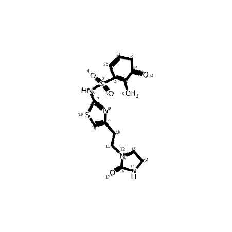 CC1=C(S(=O)(=O)Nc2nc(CCN3CCNC3=O)cs2)C=CCC1=O